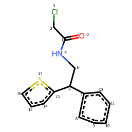 O=C(CCl)NCC(c1ccccc1)c1cccs1